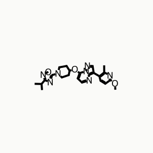 COc1ccc(-c2cnn3c(OC4CCN(c5nc(C(C)C)no5)CC4)ccnc23)c(C)n1